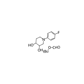 CC(C)(C)OC=O.OC1CCN(c2ccc(F)cc2)CC1O